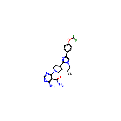 N#CCCn1cc(-c2ccc(OC(F)F)cc2)nc1C1CCN(c2ncnc(N)c2C(N)=O)CC1